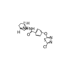 O=C(N[C@@H]1C[C@H]2CC[C@@H]1N2)c1ccc(Oc2nnc(Cl)s2)cc1